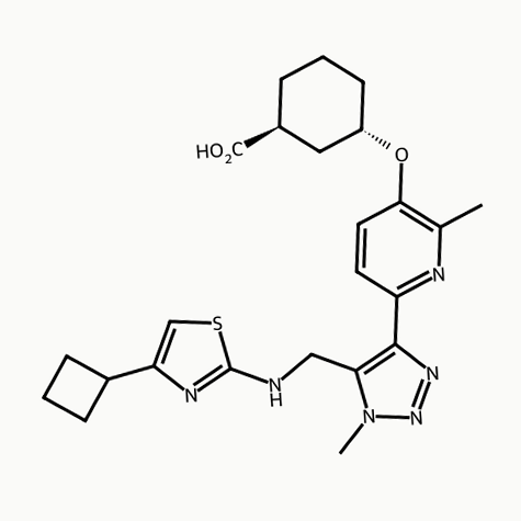 Cc1nc(-c2nnn(C)c2CNc2nc(C3CCC3)cs2)ccc1O[C@H]1CCC[C@H](C(=O)O)C1